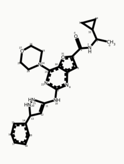 CC(NC(=O)c1cc2nc(NC3=CC(c4ccccc4)NN3)nc(N3CCOCC3)c2o1)C1CC1